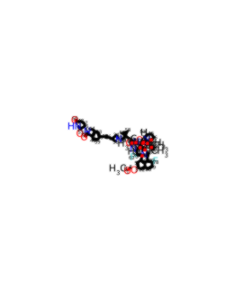 COCOc1cc(-c2ncc3c(N4C[C@H]5CC[C@@H](C4)N5C(=O)OC(C)(C)C)nc(OCC4(CN5CC(C#Cc6ccc7c(c6)CN(C6CCC(=O)NC6=O)C7=O)C5)CC4)nc3c2F)c2c(C#C[Si](C(C)C)(C(C)C)C(C)C)c(F)ccc2c1